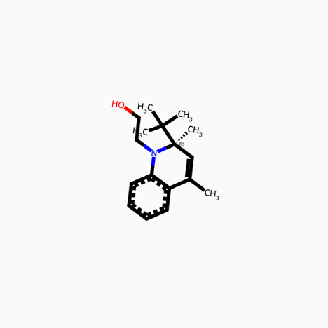 CC1=C[C@](C)(C(C)(C)C)N(CCO)c2ccccc21